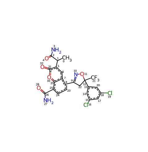 CC(C(N)=O)c1cc2c(C3=NOC(c4cc(Cl)cc(Cl)c4)(C(F)(F)F)C3)ccc(C(N)=O)c2oc1=O